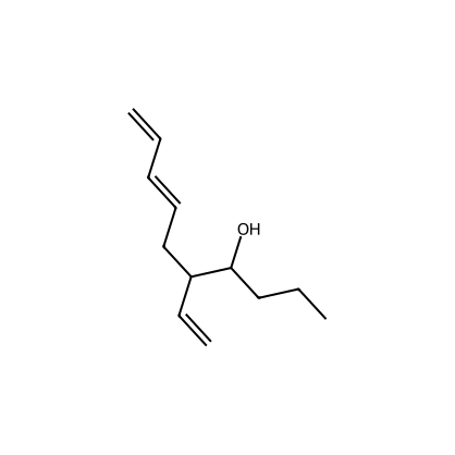 C=CC=CCC(C=C)C(O)CCC